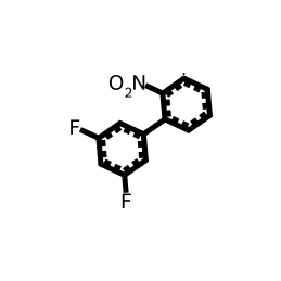 O=[N+]([O-])c1[c]cccc1-c1cc(F)cc(F)c1